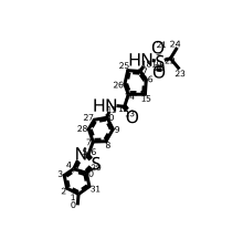 Cc1ccc2nc(-c3ccc(NC(=O)c4ccc(NS(=O)(=O)C(C)C)cc4)cc3)sc2c1